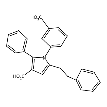 O=C(O)c1cccc(-n2c(CCc3ccccc3)cc(C(=O)O)c2-c2ccccc2)c1